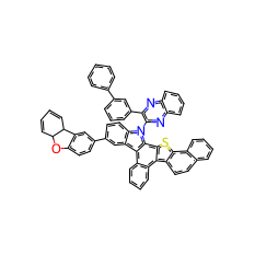 C1=CC2Oc3ccc(-c4ccc5c(c4)c4c6ccccc6c6c7ccc8ccccc8c7sc6c4n5-c4nc5ccccc5nc4-c4cccc(-c5ccccc5)c4)cc3C2C=C1